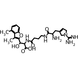 Cc1cccc2oc(C(O)C(NC(=O)CCCNC(=O)C(N)CC3=CCN(C(=N)N)C3)C(=O)O)c(C)c12